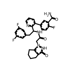 NC(=O)c1cc(-c2cccnc2C(Cc2cc(F)cc(F)c2)NC(=O)Cn2[nH]c(=O)c3c2CCCC3)ccc1F